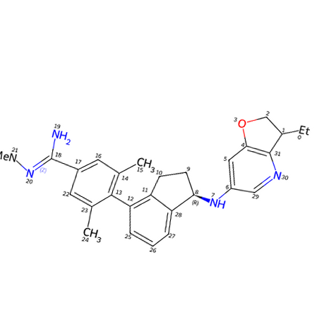 CCC1COc2cc(N[C@@H]3CCc4c(-c5c(C)cc(/C(N)=N/NC)cc5C)cccc43)cnc21